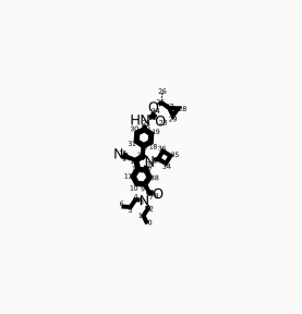 CCCN(CCC)C(=O)c1ccc2c(C#N)c(-c3ccc(NC(=O)O[C@H](C)C4CC4)cc3)n(C3CCC3)c2c1